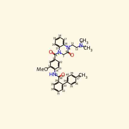 COc1cc(C(=O)N2CC(=O)N(CCN(C)C)c3ccccc32)ccc1NC(=O)c1ccccc1-c1ccc(C)cc1